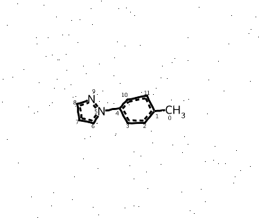 Cc1ccc(-n2[c]ccn2)cc1